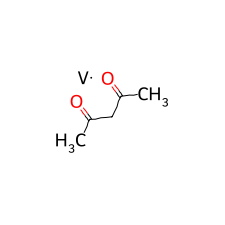 CC(=O)CC(C)=O.[V]